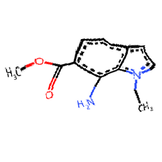 COC(=O)c1ccc2ccn(C)c2c1N